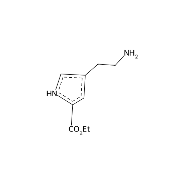 CCOC(=O)c1cc(CCN)c[nH]1